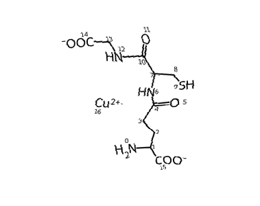 NC(CCC(=O)NC(CS)C(=O)NCC(=O)[O-])C(=O)[O-].[Cu+2]